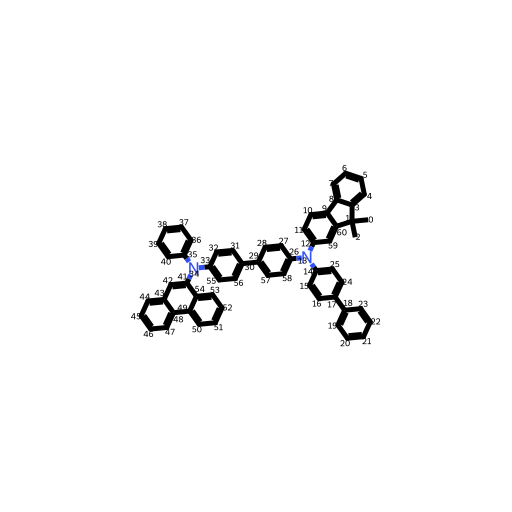 CC1(C)c2ccccc2-c2ccc(N(c3ccc(-c4ccccc4)cc3)c3ccc(-c4ccc(N(c5ccccc5)c5cc6ccccc6c6ccccc56)cc4)cc3)cc21